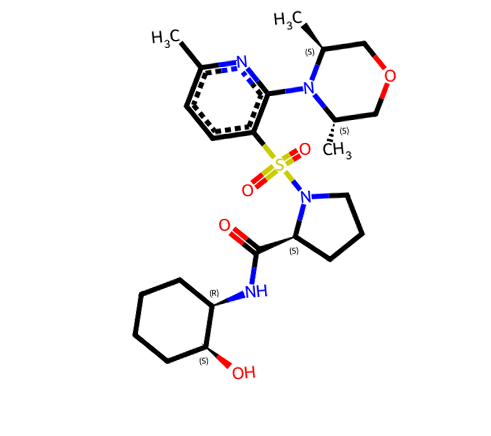 Cc1ccc(S(=O)(=O)N2CCC[C@H]2C(=O)N[C@@H]2CCCC[C@@H]2O)c(N2[C@@H](C)COC[C@@H]2C)n1